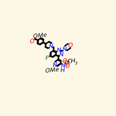 COC(=O)c1ccc(C2CCN(Cc3cc(F)cc4c(-c5cnc(OC)c(NS(C)(=O)=O)c5)nc(N5CCOCC5)nc34)CC2)cc1